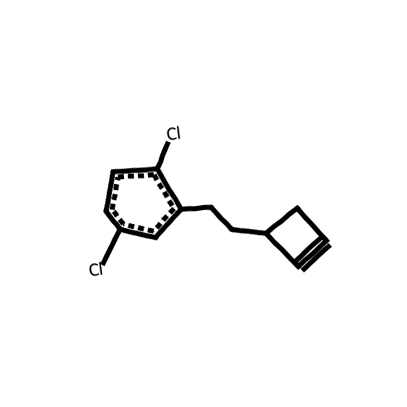 Clc1ccc(Cl)c(CCC2C#CC2)c1